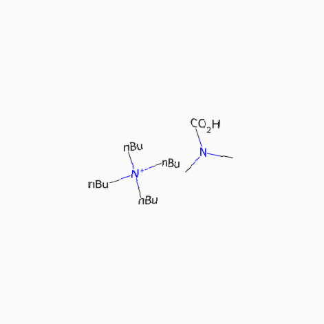 CCCC[N+](CCCC)(CCCC)CCCC.CN(C)C(=O)O